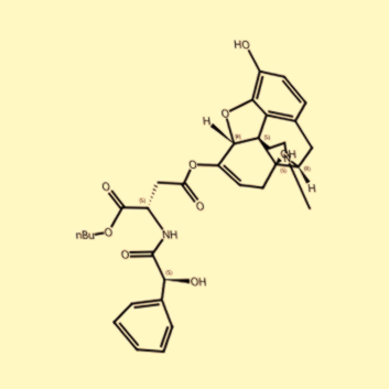 CCCCOC(=O)[C@H](CC(=O)OC1=CC[C@@]2(O)[C@H]3Cc4ccc(O)c5c4[C@@]2(CCN3C)[C@H]1O5)NC(=O)[C@@H](O)c1ccccc1